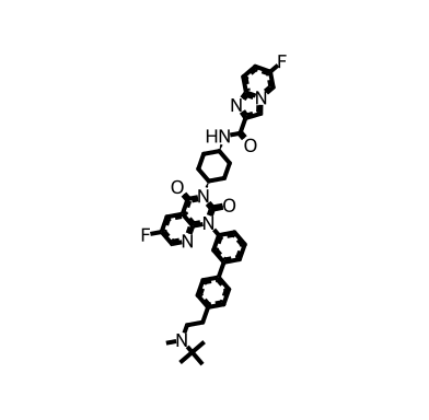 CN(CCc1ccc(-c2cccc(-n3c(=O)n([C@H]4CC[C@@H](NC(=O)c5cn6cc(F)ccc6n5)CC4)c(=O)c4cc(F)cnc43)c2)cc1)C(C)(C)C